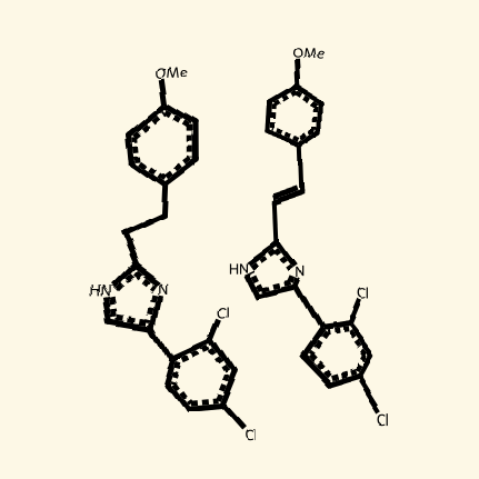 COc1ccc(C=Cc2nc(-c3ccc(Cl)cc3Cl)c[nH]2)cc1.COc1ccc(CCc2nc(-c3ccc(Cl)cc3Cl)c[nH]2)cc1